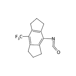 O=C=Nc1c2c(c(C(F)(F)F)c3c1CCC3)CCC2